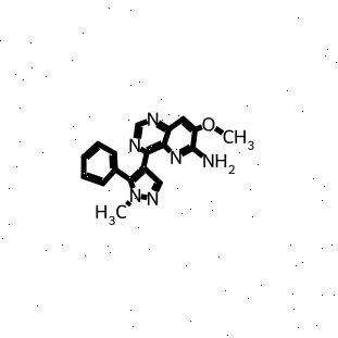 COc1cc2ncnc(-c3cnn(C)c3-c3ccccc3)c2nc1N